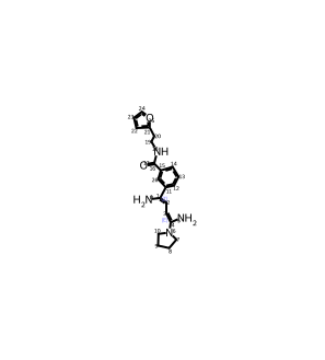 N/C(=C\C=C(/N)N1CCCC1)c1cccc(C(=O)NCCc2ccco2)c1